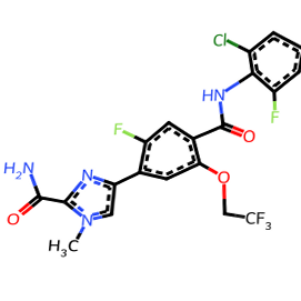 Cn1cc(-c2cc(OCC(F)(F)F)c(C(=O)Nc3c(F)cccc3Cl)cc2F)nc1C(N)=O